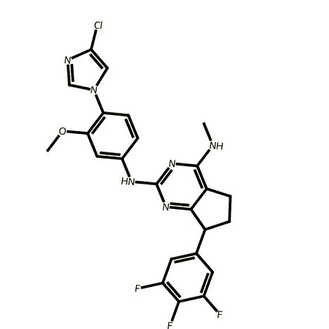 CNc1nc(Nc2ccc(-n3cnc(Cl)c3)c(OC)c2)nc2c1CCC2c1cc(F)c(F)c(F)c1